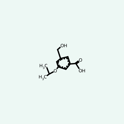 CC(C)Oc1cc(CO)cc(C(=O)O)c1